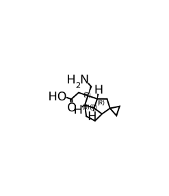 NC[C@@]1(CC(=O)O)[C@@H]2CC3(CC3)C3CC[C@H]1[C@@H]32